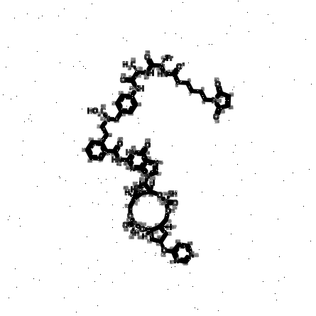 CC(C)[C@H](NC(=O)CCCCCN1C(=O)C=CC1=O)C(=O)N[C@@H](C)C(=O)Nc1ccc(CN(CCc2ccccc2C(=O)Nc2nc3c(ncn3[C@@H]3O[C@@H]4CO[P@@](=O)(S)O[C@H]5C[C@H](Oc6ccncn6)C[C@@H]5CO[P@@](=O)(S)O[C@@H]3[C@@H]4O)c(=O)[nH]2)C(=O)O)cc1